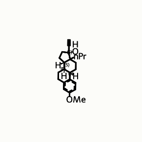 C#C[C@]1(O)CC[C@H]2[C@@H]3CCc4cc(OC)ccc4[C@H]3CCC21CCC